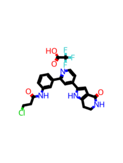 O=C(CCCl)Nc1cccc(-c2cc(-c3cc4c([nH]3)CCNC4=O)ccn2)c1.O=C(O)C(F)(F)F